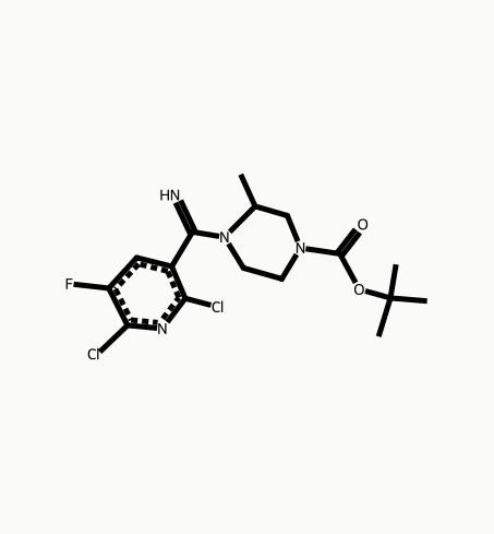 CC1CN(C(=O)OC(C)(C)C)CCN1C(=N)c1cc(F)c(Cl)nc1Cl